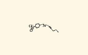 CCCC#CCN=Cc1ccc([N+](=O)[O-])cc1